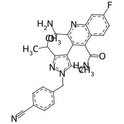 Cc1c(-c2c(C(N)=O)nc3cc(F)ccc3c2C(N)=O)c(C(C)C)nn1Cc1ccc(C#N)cc1